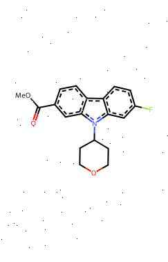 COC(=O)c1ccc2c3ccc(F)cc3n(C3CCOCC3)c2c1